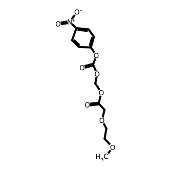 COCCOCC(=O)OCOC(=O)Oc1ccc([N+](=O)[O-])cc1